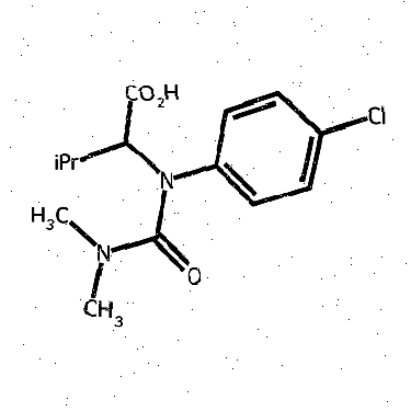 CC(C)C(C(=O)O)N(C(=O)N(C)C)c1ccc(Cl)cc1